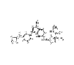 CNC(=O)[C@]1(C)CC[C@@H](Nc2ncc3c(Br)nn(-c4cccc(NC5COC5)c4)c3n2)C1